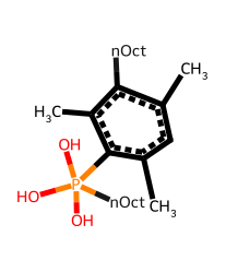 CCCCCCCCc1c(C)cc(C)c(P(O)(O)(O)CCCCCCCC)c1C